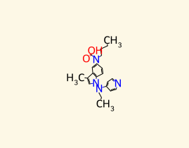 CCCCN(C(=O)O)c1ccc2c(c1)c(C)cn2N(CCC)c1ccncc1